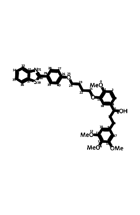 COc1ccc(C(O)CCc2cc(OC)c(OC)c(OC)c2)cc1OCCCCOc1ccc(-c2nc3ccccc3s2)cc1